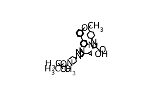 C[C@H](Oc1cccc(-c2cccc(-n3ncc(C(=O)O)c3[C@@H]3C[C@H]3c3cn(C4CCN(C(=O)OC(C)(C)C)CC4)nn3)c2)c1)C1CCCCC1